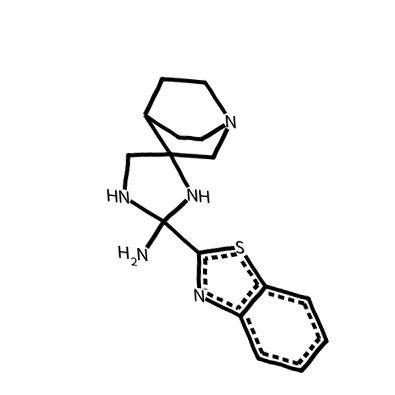 NC1(c2nc3ccccc3s2)NCC2(CN3CCC2CC3)N1